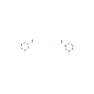 O=C(NCCCCCNC(=O)c1cc(O)c(O)c(O)c1)c1cc(O)c(O)c(O)c1